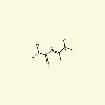 C/C(=N\C(=O)[C@H](C)O)N(C)C